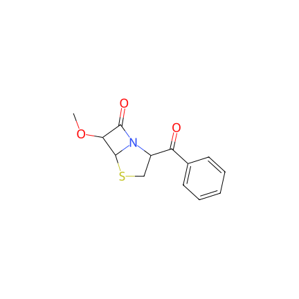 COC1C(=O)N2C(C(=O)c3ccccc3)CSC12